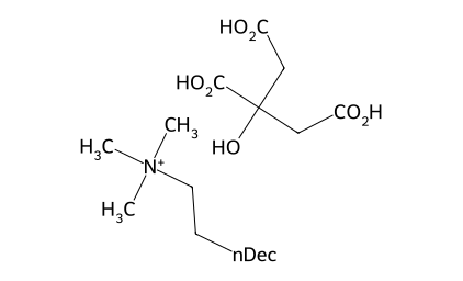 CCCCCCCCCCCC[N+](C)(C)C.O=C(O)CC(O)(CC(=O)O)C(=O)O